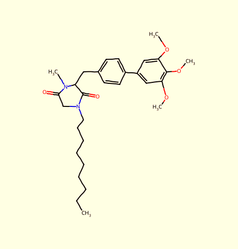 CCCCCCCCCN1CC(=O)N(C)C(Cc2ccc(-c3cc(OC)c(OC)c(OC)c3)cc2)C1=O